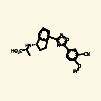 CC(C)Oc1ccc(-c2nc(-c3cccc4c3CC[C@@H]4N[C@@H](C)C(=O)O)no2)cc1C#N